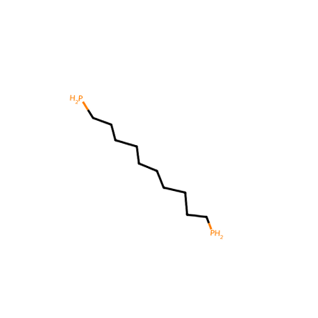 PCCCCCCCCCCP